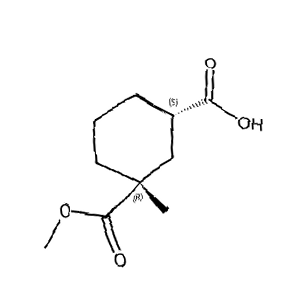 COC(=O)[C@]1(C)CCC[C@H](C(=O)O)C1